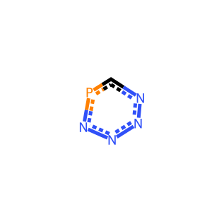 c1nnnnp1